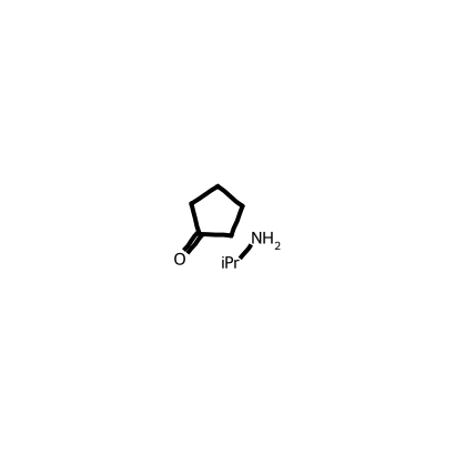 CC(C)N.O=C1CCCC1